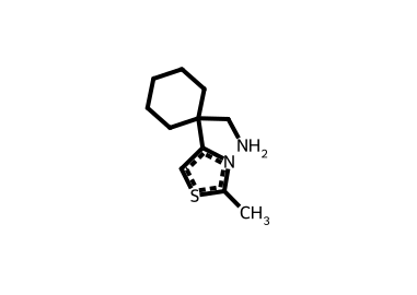 Cc1nc(C2(CN)CCCCC2)cs1